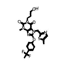 Cc1cnc(Cn2c(Oc3ccc(C(C)(F)F)cc3)nc3c2c(=O)n(CCCO)c(=O)n3C)s1